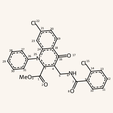 COC(=O)c1c(CNC(=O)c2ccccc2Cl)c(=O)c2ccc(Cl)cc2n1-c1ccccc1